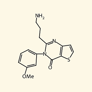 COc1cccc(-n2c(CCCN)nc3ccsc3c2=O)c1